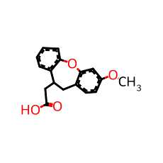 COc1ccc2c(c1)Oc1ccccc1C(CC(=O)O)C2